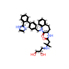 CC(C)(CC(=O)N[C@@H]1CCc2ccccc2N(Cc2ccc(-c3ccccc3-c3ncc[nH]3)cc2)C1=O)NC[C@H](O)CO